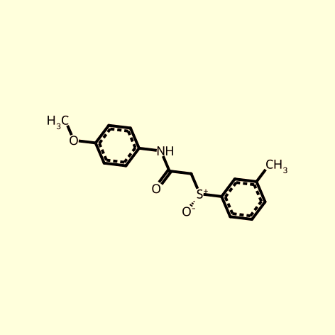 COc1ccc(NC(=O)C[S@@+]([O-])c2cccc(C)c2)cc1